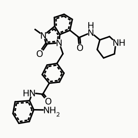 Cn1c(=O)n(Cc2ccc(C(=O)Nc3ccccc3N)cc2)c2c(C(=O)NC3CCCNC3)cccc21